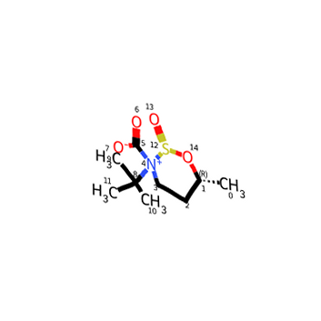 C[C@@H]1CC[N+](C(=O)[O-])(C(C)(C)C)S(=O)O1